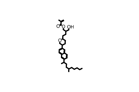 C=C(C)C(=O)OCC(CO)CCC1CCC(c2ccc3cc(C(C)CCC(C)CCCCC)ccc3c2)CO1